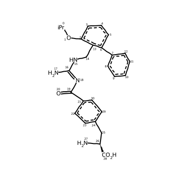 CC(C)Oc1cccc(-c2ccccc2)c1CNC(N)=NC(=O)c1ccc(C[C@H](N)C(=O)O)cc1